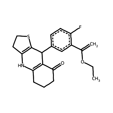 C=C(OCC)c1cc(C2C3=C(CCS3)NC3=C2C(=O)CCC3)ccc1F